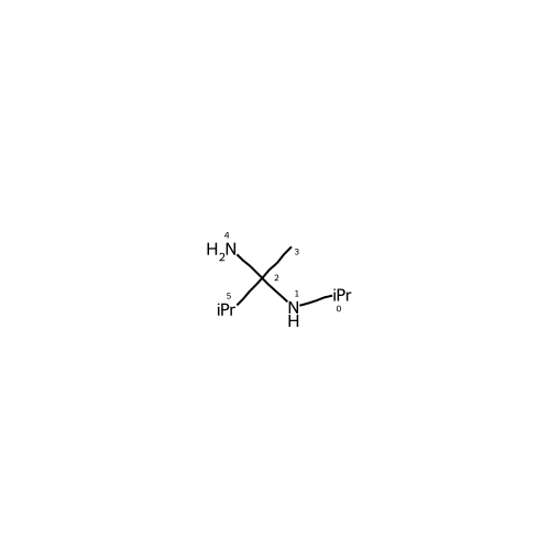 CC(C)NC(C)(N)C(C)C